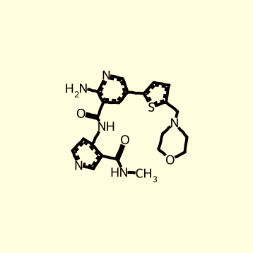 CNC(=O)c1cnccc1NC(=O)c1cc(-c2ccc(CN3CCOCC3)s2)cnc1N